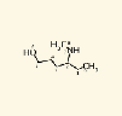 CCC(CCCO)NC